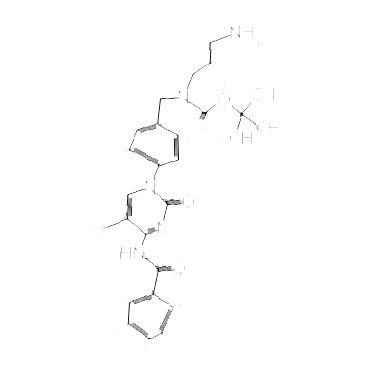 CC(C)(C)OC(=O)N(CCCN)Cc1ccc(-n2cc(I)c(NC(=O)c3ccccc3)nc2=O)cc1